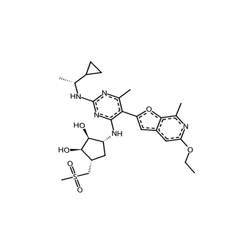 CCOc1cc2cc(-c3c(C)nc(N[C@H](C)C4CC4)nc3N[C@@H]3C[C@H](CS(C)(=O)=O)[C@@H](O)[C@H]3O)oc2c(C)n1